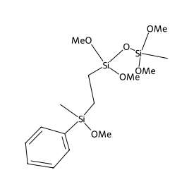 CO[Si](C)(OC)O[Si](CC[Si](C)(OC)c1ccccc1)(OC)OC